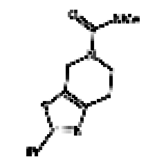 CNC(=O)N1CCc2nc(C(C)C)sc2C1